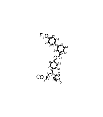 NC(=S)C(CC(=O)O)c1ccc(OCc2cccc(-c3ccc(C(F)(F)F)cc3)c2)cc1